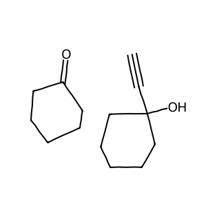 C#CC1(O)CCCCC1.O=C1CCCCC1